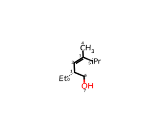 CC[C@H](/C=C(/C)C(C)C)CO